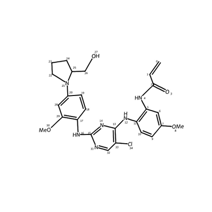 C=CC(=O)Nc1cc(OC)ccc1Nc1nc(Nc2ccc(N3CCCC3CO)cc2OC)ncc1Cl